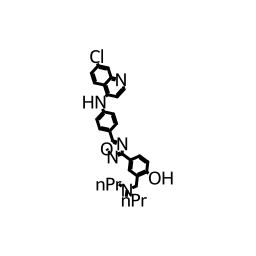 CCCN(CCC)Cc1cc(-c2noc(-c3ccc(Nc4ccnc5cc(Cl)ccc45)cc3)n2)ccc1O